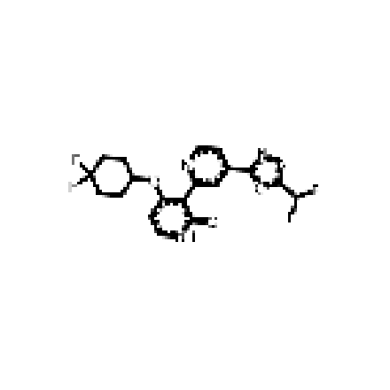 O=c1[nH]ccc(OC2CCC(F)(F)CC2)c1-c1cc(-c2nnc(C(F)F)o2)ccn1